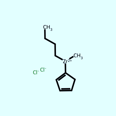 CCC[CH2][Zr+2]([CH3])[C]1=CC=CC1.[Cl-].[Cl-]